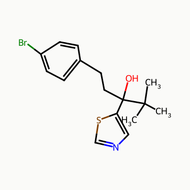 CC(C)(C)C(O)(CCc1ccc(Br)cc1)c1cncs1